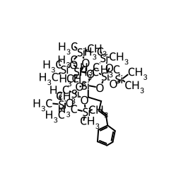 C[Si](C)(C)O[Si](C)(O[Si](C)(C)C)O[Si](CCC=Cc1ccccc1)(O[Si](C)(O[Si](C)(C)C)O[Si](C)(C)C)O[Si](C)(O[Si](C)(C)C)O[Si](C)(C)C